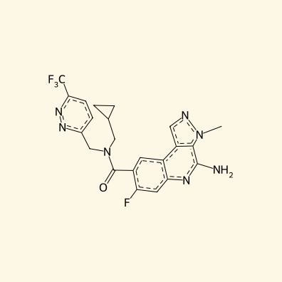 Cn1ncc2c3cc(C(=O)N(Cc4ccc(C(F)(F)F)nn4)CC4CC4)c(F)cc3nc(N)c21